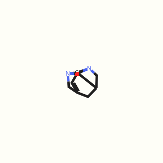 C1=C2CC3CN(C1)CN(C2)C3